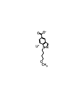 COCCCCn1ncc2cc(C(=O)[O-])ccc21.[Li+]